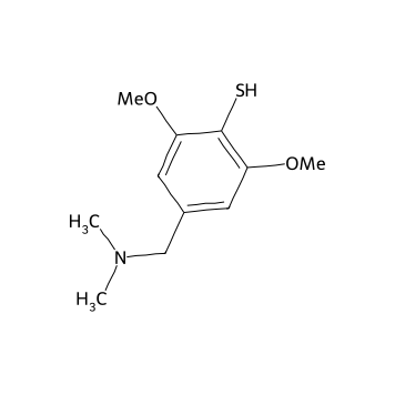 COc1cc(CN(C)C)cc(OC)c1S